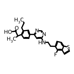 CCCc1cc(-c2cc(NCCc3ccc4sccc4c3F)ncn2)ccc1C(C)C(=O)O